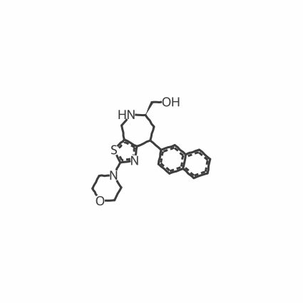 OC[C@H]1CC(c2ccc3ccccc3c2)c2nc(N3CCOCC3)sc2CN1